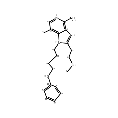 COCCc1nc2c(N)ncc(C)c2n1CCCCSc1ccccc1